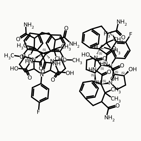 COc1ccc2cc1[C@@](C(=O)NC(=O)O)(N1CCCC1N(c1ccc(F)cc1)C1CCCN1[C@]1(C(=O)NC(=O)O)c3cc(ccc3OC)CC(C(N)=O)C1(C)C)C(C)(C)C(C(N)=O)C2.Cc1c(F)ccc(N([C@H]2[C@@H](O)CCN2[C@]2(C(=O)NC(=O)O)c3ccc(cc3)CC(C(N)=O)C2(C)C)[C@H]2[C@@H](O)CCN2[C@]2(C(=O)NC(=O)O)c3ccc(cc3)CC(C(N)=O)C2(C)C)c1C